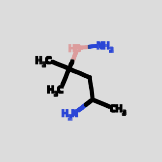 CC(N)CC(C)(C)BN